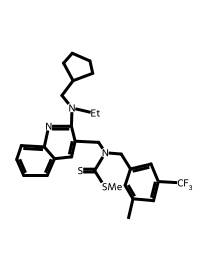 CCN(CC1CCCC1)c1nc2ccccc2cc1CN(Cc1cc(C)cc(C(F)(F)F)c1)C(=S)SC